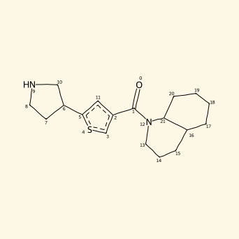 O=C(c1csc(C2CCNC2)c1)N1CCCC2CCCCC21